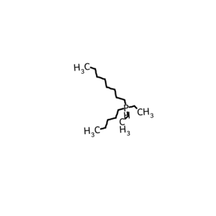 CCCCCCCC[PH](CC)(CC)CCCCC